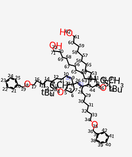 CC(C)(C)[Si](C)(C)OC1CCC(/C=C\CCCCCCCOCc2ccccc2)(/C=C(\CCCCCCCOCc2ccccc2)C2CC(O[Si](C)(C)C(C)(C)C)CC2(CCCCCCCCCO)CCCCCCCCCO)C1